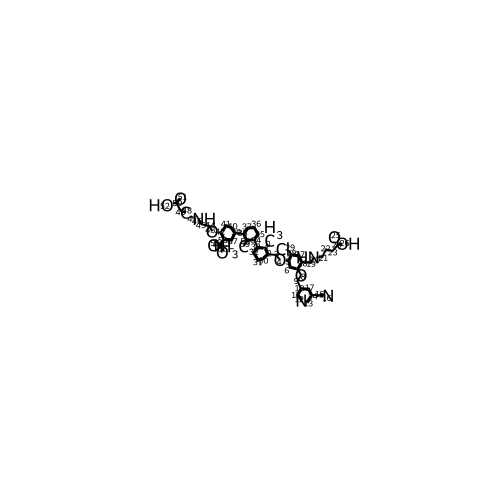 Cc1c(COc2cc(OCc3cncc(C#N)c3)c(CNCCCC(=O)O)cc2Cl)cccc1-c1cccc(-c2ccc(OCCNCCCC(=O)O)c([N+](=O)[O-])c2)c1C